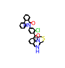 O=C(Nc1ccc(C(=O)C2CC=CC3=CNC=C4CSCCN4[C@H]32)c(Cl)c1)c1ccccc1-c1ccccc1